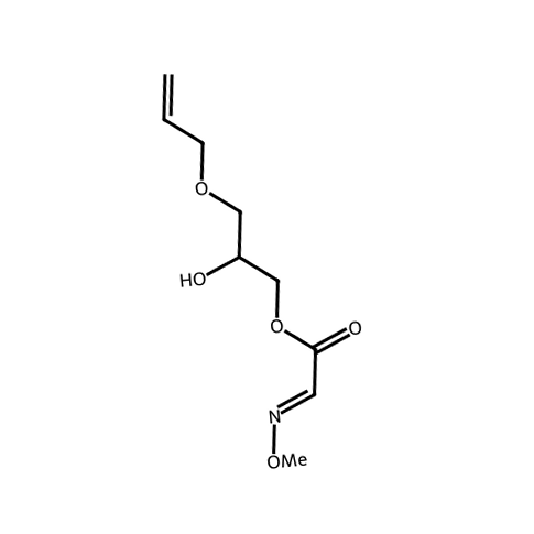 C=CCOCC(O)COC(=O)C=NOC